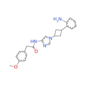 COc1ccc(CC(=O)Nc2cn(C3CC(c4ccccc4N)C3)cn2)cc1